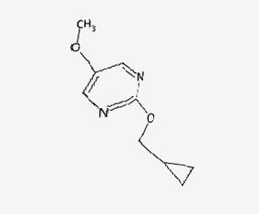 COc1cnc(OCC2CC2)nc1